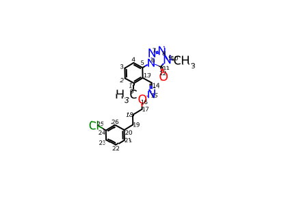 Cc1cccc(-n2nnn(C)c2=O)c1/C=N\OCCCc1cccc(Cl)c1